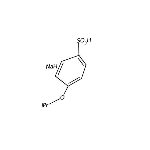 CC(C)Oc1ccc(S(=O)(=O)O)cc1.[NaH]